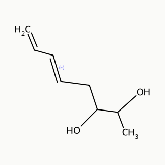 C=C/C=C/CC(O)C(C)O